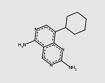 Nc1ncc2c(N)ncc(C3CCCCC3)c2n1